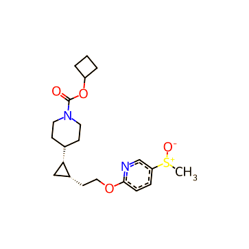 C[S+]([O-])c1ccc(OCC[C@@H]2C[C@@H]2C2CCN(C(=O)OC3CCC3)CC2)nc1